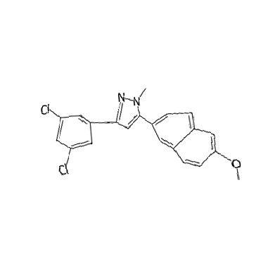 COc1ccc2cc(-c3cc(-c4cc(Cl)cc(Cl)c4)nn3C)ccc2c1